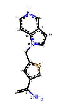 C=C(N)c1csc(Cn2ccc3cnccc32)c1